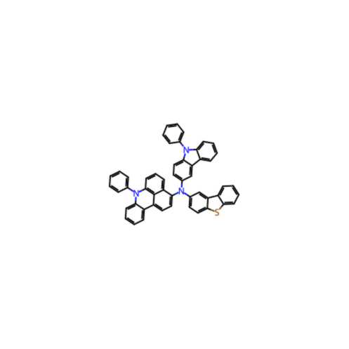 c1ccc(N2c3ccccc3-c3ccc(N(c4ccc5sc6ccccc6c5c4)c4ccc5c(c4)c4ccccc4n5-c4ccccc4)c4cccc2c34)cc1